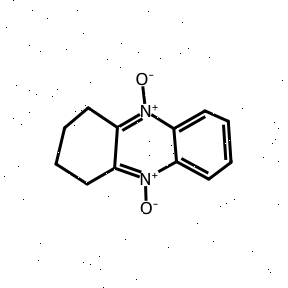 [O-][n+]1c2c([n+]([O-])c3ccccc31)CCCC2